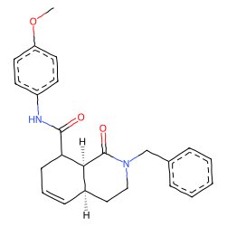 COc1ccc(NC(=O)C2CC=C[C@@H]3CCN(Cc4ccccc4)C(=O)[C@H]23)cc1